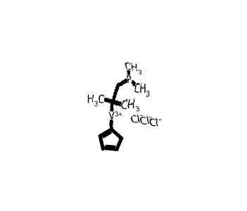 CP(C)C[C](C)(C)[V+3][C]1=CC=CC1.[Cl-].[Cl-].[Cl-]